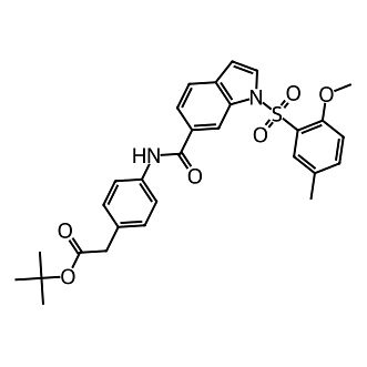 COc1ccc(C)cc1S(=O)(=O)n1ccc2ccc(C(=O)Nc3ccc(CC(=O)OC(C)(C)C)cc3)cc21